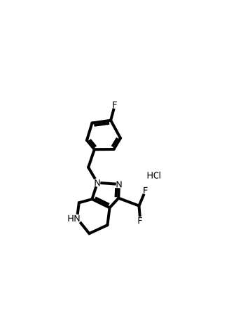 Cl.Fc1ccc(Cn2nc(C(F)F)c3c2CNCC3)cc1